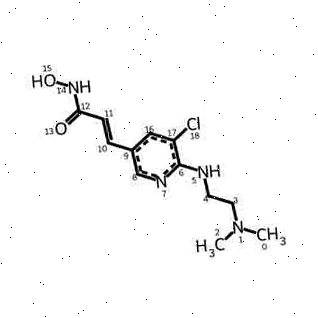 CN(C)CCNc1ncc(/C=C/C(=O)NO)cc1Cl